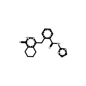 O=C(Nc1nccs1)c1ccccc1Cc1n[nH]c(=O)c2c1CCCC2